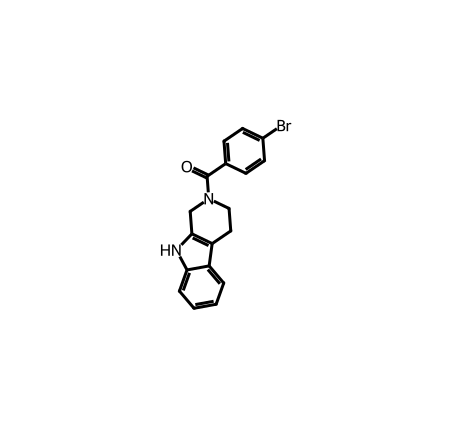 O=C(c1ccc(Br)cc1)N1CCc2c([nH]c3ccccc23)C1